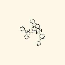 c1ccc(-c2cccc(-c3nc(-c4ccc5c(c4)c4ccccc4n5-c4ccccc4)c4c(ccc5c6ccccc6sc54)n3)c2)cc1